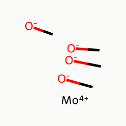 C[O-].C[O-].C[O-].C[O-].[Mo+4]